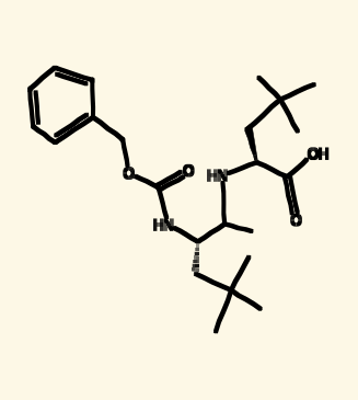 CC(N[C@@H](CC(C)(C)C)C(=O)O)[C@H](CC(C)(C)C)NC(=O)OCc1ccccc1